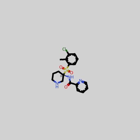 Cc1c(Cl)cccc1S(=O)(=O)[C@@]1(NC(=O)c2ccccn2)CCCNC1